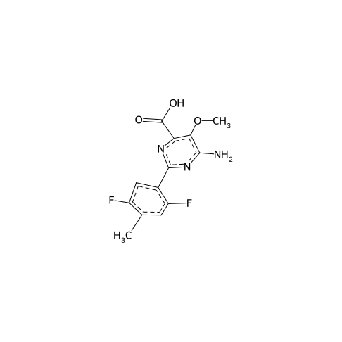 COc1c(N)nc(-c2cc(F)c(C)cc2F)nc1C(=O)O